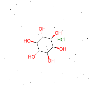 Cl.O[C@H]1[C@H](O)[C@@H](O)[C@H](O)[C@@H](O)[C@H]1O